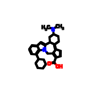 CN(C)C1CCC2=C3C=CC(C(=O)O)=C3Cn3c(cc4cccc(C5CCCCC5)c43)C2C1